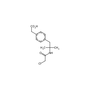 CC(C)(Cc1ccc(CC(=O)O)cc1)NC(=O)CCl